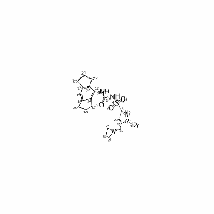 CC(C)n1nc(S(=O)(=O)NC(=O)Nc2c3c(cc4c2CCC4)CCC3)cc1CN1CCC1